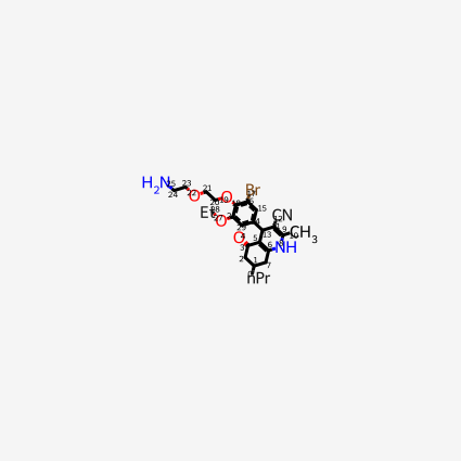 CCCC1CC(=O)C2=C(C1)NC(C)=C(C#N)C2c1cc(Br)c(OCCOCCN)c(OCC)c1